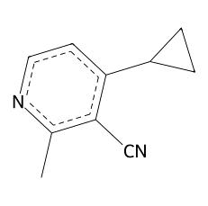 Cc1nccc(C2CC2)c1C#N